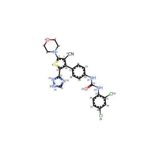 N#Cc1c(N2CCOCC2)sc(-c2nc[nH]n2)c1-c1ccc(NC(=O)Nc2ccc(Cl)cc2Cl)cc1